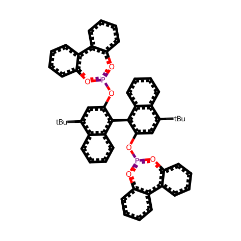 CC(C)(C)c1cc(Op2oc3ccccc3c3ccccc3o2)c(-c2c(Op3oc4ccccc4c4ccccc4o3)cc(C(C)(C)C)c3ccccc23)c2ccccc12